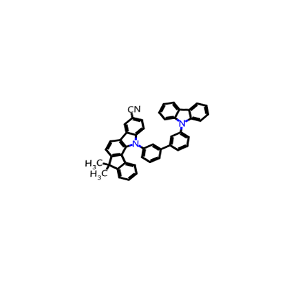 CC1(C)c2ccccc2-c2c1ccc1c3cc(C#N)ccc3n(-c3cccc(-c4cccc(-n5c6ccccc6c6ccccc65)c4)c3)c21